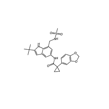 CC(C)(C)c1cc2cc(NC(=O)C3(c4ccc5c(c4)OCO5)CC3)cc(CNS(C)(=O)=O)c2[nH]1